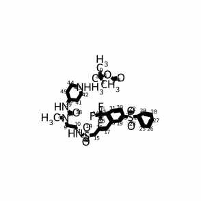 CC(C)(C)OC=O.CN(CCNS(=O)(=O)CC=Cc1cc(S(=O)(=O)c2ccccc2)ccc1C(F)(F)F)C(=O)NC1CCNCC1